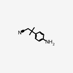 CC(C)(CC#N)c1ccc(N)cc1